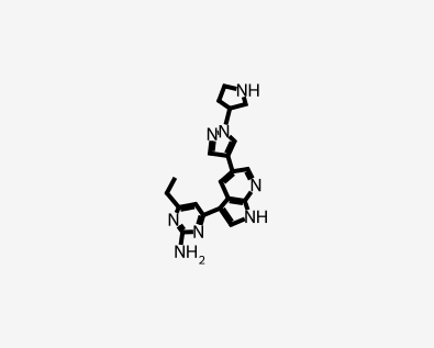 CCc1cc(-c2c[nH]c3ncc(-c4cnn(C5CCNC5)c4)cc23)nc(N)n1